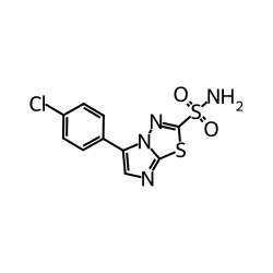 NS(=O)(=O)c1nn2c(-c3ccc(Cl)cc3)cnc2s1